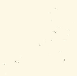 Cc1ccc(N2N=C3c4ccc(OCCCN5CCOCC5)cc4CCC3CC2=O)cc1.Cl.O